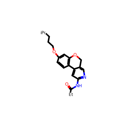 CCC(=O)Nc1cc2c(cn1)COc1cc(OCCCC(C)C)ccc1-2